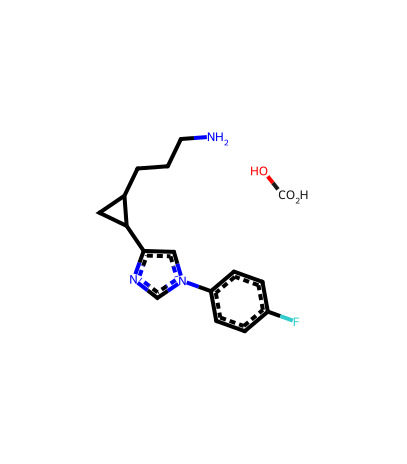 NCCCC1CC1c1cn(-c2ccc(F)cc2)cn1.O=C(O)O